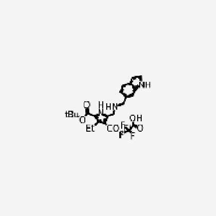 CCOC(=O)c1c(CNCc2ccc3cc[nH]c3c2)[nH]c(C(=O)OC(C)(C)C)c1CC.O=C(O)C(F)(F)F